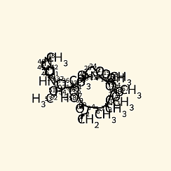 C=CCC1/C=C(\C)CC(C)CC(OC)C2OC(O)(C(=O)C(=O)N3CCCCC3C(=O)OC(C(C)=CC3CCC(Nc4ccc5c(ccn5C)c4)C(OCC)C3)C(C)C(O)CC1=O)C(C)CC2OC